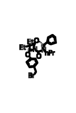 CCCN(C(=O)N1C(=O)C(CC)(CC)[C@@H]1Oc1ccc(CBr)cc1)[C@H](C)c1ccccc1